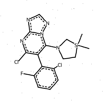 C[Si]1(C)CCN(c2c(-c3c(F)cccc3Cl)c(Cl)nc3ncnn23)C1